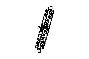 ClC(Cl)(Cl)C(Cl)(Cl)C(Cl)(Cl)C(Cl)(Cl)C(Cl)(Cl)C(Cl)(Cl)C(Cl)(Cl)C(Cl)(Cl)C(Cl)(Cl)C(Cl)(Cl)C(Cl)(Cl)C(Cl)(Cl)C(Cl)(Cl)C(Cl)(Cl)C(Cl)(Cl)C(Cl)(Cl)C(Cl)(Cl)C(Cl)(Cl)C(Cl)(Cl)C(Cl)(Cl)C(Cl)(Cl)C(Cl)(Cl)Cl.O=[SH](=O)O